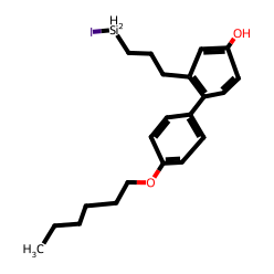 CCCCCCOc1ccc(-c2ccc(O)cc2CCC[SiH2]I)cc1